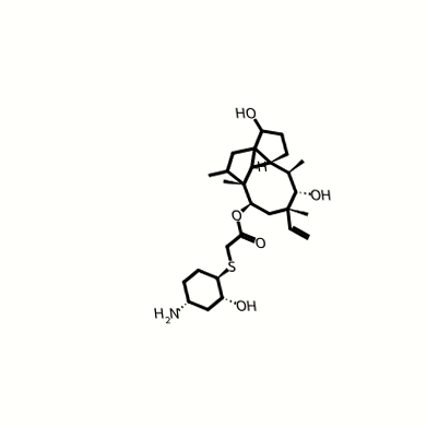 C=C[C@]1(C)C[C@@H](OC(=O)CS[C@@H]2CC[C@@H](N)C[C@H]2O)[C@]2(C)C(C)CC34C(O)CC[C@@]3([C@@H](C)[C@@H]1O)[C@@H]42